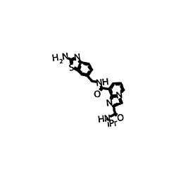 CC(C)NC(=O)c1cn2cccc(C(=O)NCc3ccc4nc(N)sc4c3)c2n1